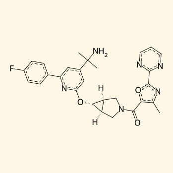 Cc1nc(-c2ncccn2)oc1C(=O)N1C[C@@H]2[C@H](C1)[C@H]2Oc1cc(C(C)(C)N)cc(-c2ccc(F)cc2)n1